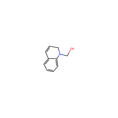 OCN1CC=Cc2ccccc21